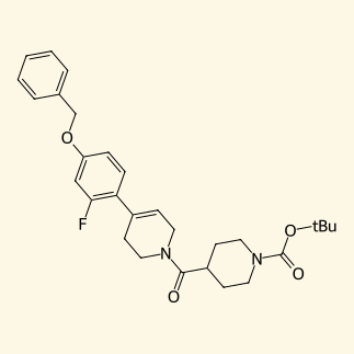 CC(C)(C)OC(=O)N1CCC(C(=O)N2CC=C(c3ccc(OCc4ccccc4)cc3F)CC2)CC1